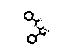 O=C(Nc1n[nH]cc1-c1ccccc1)c1ccccc1